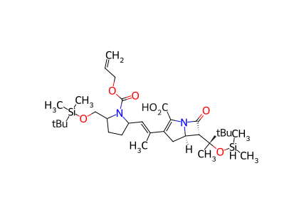 C=CCOC(=O)N1C(/C=C(\C)C2=C(C(=O)O)N3C(=O)[C@H]([C@@](C)(O[SiH](C)C)C(C)(C)C)[C@H]3C2)CCC1CO[Si](C)(C)C(C)(C)C